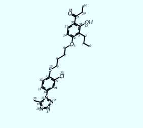 CCCc1c(OCCCCSc2ccc(-n3nnnc3C)cc2Cl)ccc(C(=O)CC)c1O